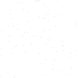 CCOC(=O)C1CCN(c2cncc(CCCC(F)(F)F)n2)CC1